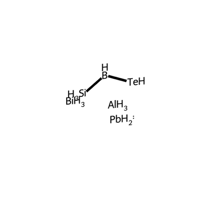 [AlH3].[BiH3].[PbH2].[SiH3]B[TeH]